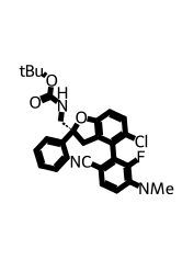 CNc1ccc(C#N)c(-c2c(Cl)ccc3c2C[C@@](CNC(=O)OC(C)(C)C)(c2ccccc2)O3)c1F